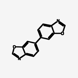 c1nc2ccc(-c3ccc4ncoc4c3)cc2o1